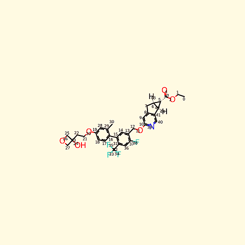 CCOC(=O)[C@H]1[C@@H]2Cc3cc(OCc4cc(-c5ccc(OCCC6(O)COC6)cc5C)c(C(F)(F)F)cc4F)ncc3[C@@H]21